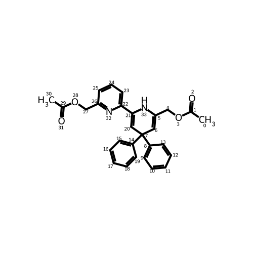 CC(=O)OCC1=CC(c2ccccc2)(c2ccccc2)C=C(c2cccc(COC(C)=O)n2)N1